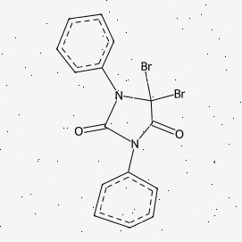 O=C1N(c2ccccc2)C(=O)C(Br)(Br)N1c1ccccc1